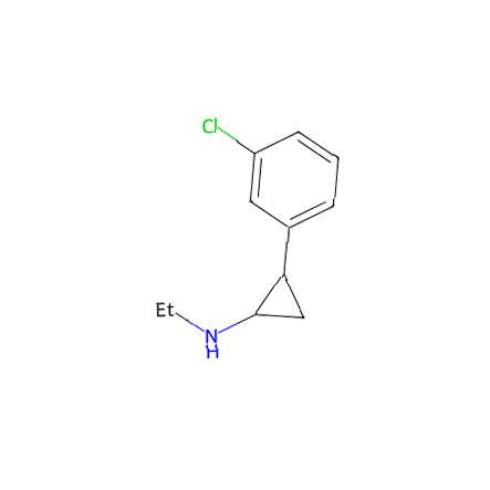 CCNC1CC1c1cccc(Cl)c1